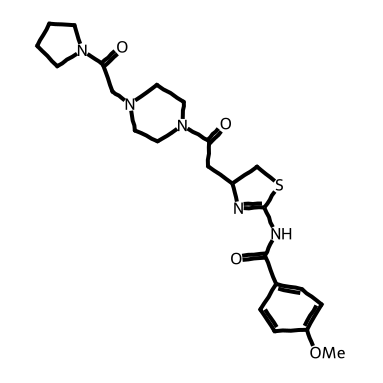 COc1ccc(C(=O)NC2=NC(CC(=O)N3CCN(CC(=O)N4CCCC4)CC3)CS2)cc1